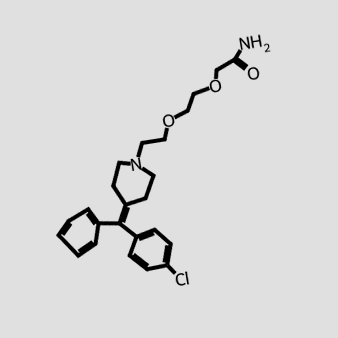 NC(=O)COCCOCCN1CCC(=C(c2ccccc2)c2ccc(Cl)cc2)CC1